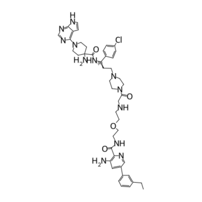 CCc1cccc(-c2cnc(C(=O)NCCOCCNCC(=O)N3CCN(CC[C@@H](NC(=O)C4(N)CCN(c5ncnc6[nH]ccc56)CC4)c4ccc(Cl)cc4)CC3)c(N)c2)c1